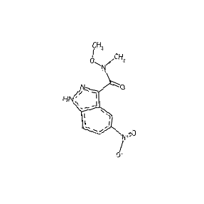 CON(C)C(=O)c1n[nH]c2ccc([N+](=O)[O-])cc12